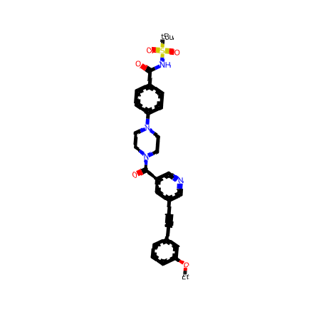 CCOc1cccc(C#Cc2cncc(C(=O)N3CCN(c4ccc(C(=O)NS(=O)(=O)C(C)(C)C)cc4)CC3)c2)c1